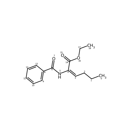 CCCC=C(NC(=O)c1ccccc1)C(=O)OCC